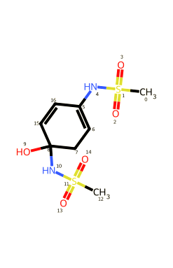 CS(=O)(=O)NC1=CCC(O)(NS(C)(=O)=O)C=C1